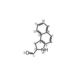 O=CC1Cc2c(ccc3ccccc23)N1